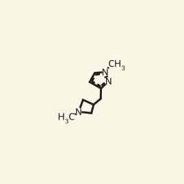 CN1CC(Cc2ccn(C)n2)C1